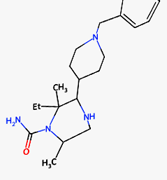 CCC1(C)C(C2CCN(Cc3ccccc3)CC2)NCC(C)N1C(N)=O